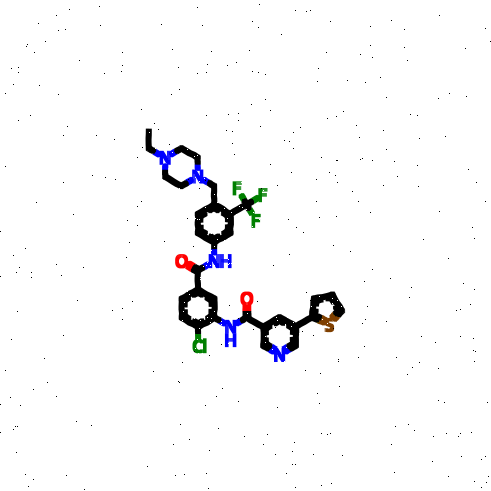 CCN1CCN(Cc2ccc(NC(=O)c3ccc(Cl)c(NC(=O)c4cncc(-c5cccs5)c4)c3)cc2C(F)(F)F)CC1